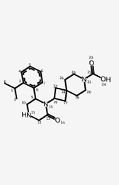 CC(C)c1ccccc1C1CNCC(=O)N1C1CC2(CCN(C(=O)O)CC2)C1